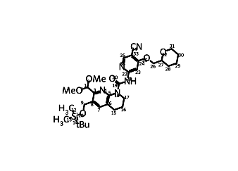 COC(OC)c1nc2c(cc1CO[Si](C)(C)C(C)(C)C)CCCN2C(=O)Nc1cc(OCC2CCCCO2)c(C#N)cn1